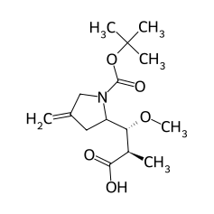 C=C1CC([C@H](OC)[C@@H](C)C(=O)O)N(C(=O)OC(C)(C)C)C1